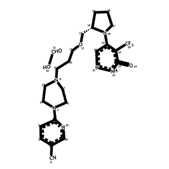 N#Cc1ccc(N2CCN(CCCOC[C@@H]3CCCN3c3cn[nH]c(=O)c3C(F)(F)F)CC2)nc1.O=CO